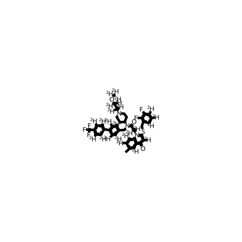 [2H]c1c([2H])c(F)c(F)c(CSc2c([2H])c(=O)c3c([2H])c(C)c([2H])c([2H])c3n2C([2H])([2H])C(=O)N(Cc2c([2H])c([2H])c(-c3c([2H])c([2H])c(C(F)(F)F)c([2H])c3[2H])c([2H])c2[2H])C2CCN(C([2H])([2H])C([2H])([2H])OC([2H])([2H])[2H])CC2)c1[2H]